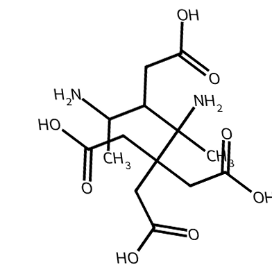 CC(N)C(CC(=O)O)C(C)(N)C(CC(=O)O)(CC(=O)O)CC(=O)O